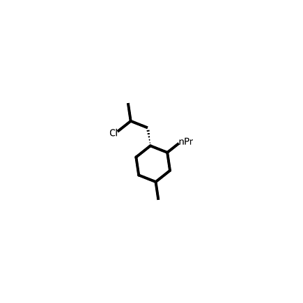 CCCC1CC(C)CC[C@@H]1CC(C)Cl